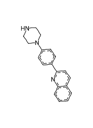 c1ccc2nc(-c3ccc(N4CCNCC4)cc3)ccc2c1